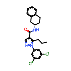 CCCc1c(C(=O)N[C@H]2CCc3ccccc3C2)cnn1-c1cc(Cl)cc(Cl)c1